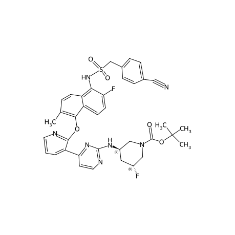 Cc1ccc2c(NS(=O)(=O)Cc3ccc(C#N)cc3)c(F)ccc2c1Oc1ncccc1-c1ccnc(N[C@@H]2C[C@@H](F)CN(C(=O)OC(C)(C)C)C2)n1